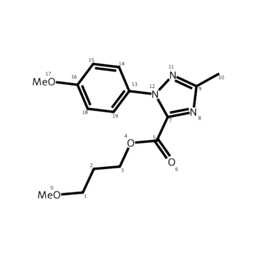 COCCCOC(=O)c1nc(C)nn1-c1ccc(OC)cc1